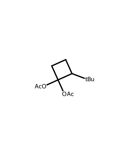 CC(=O)OC1(OC(C)=O)CCC1C(C)(C)C